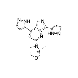 C[C@@H]1COCCN1c1cc(-c2ccn[nH]2)c2cnc(-c3ccn[nH]3)n2n1